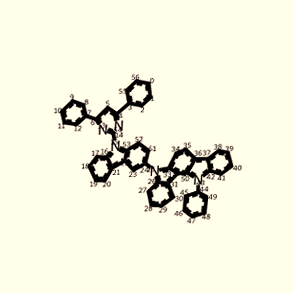 c1ccc(-c2cc(-c3ccccc3)nc(-n3c4ccccc4c4cc(-n5c6ccccc6c6c5ccc5c7ccccc7n(-c7ccccc7)c56)ccc43)n2)cc1